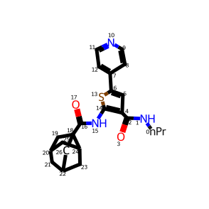 CCCNC(=O)c1cc(-c2ccncc2)sc1NC(=O)C12CC3CC(CC1C3)C2